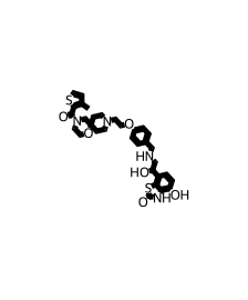 Cc1ccsc1C(=O)N1CCOC2(CCN(CCOc3ccc(CNCC(O)c4ccc(O)c5[nH]c(=O)sc45)cc3)CC2)C1